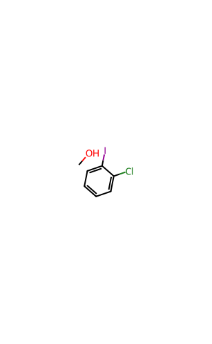 CO.Clc1ccccc1I